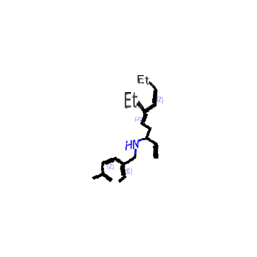 C=CC(C/C=C(\C=C/CC)CC)NCC(/C=C\C(=C)C)=C/C